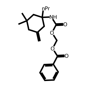 C=C1CC(C)(C)CC(CCC)(NC(=O)OCOC(=O)c2ccccc2)C1